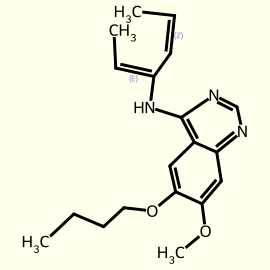 C/C=C\C(=C/C)Nc1ncnc2cc(OC)c(OCCCC)cc12